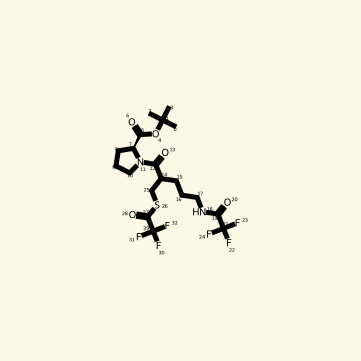 CC(C)(C)OC(=O)[C@@H]1CCCN1C(=O)C(CCCNC(=O)C(F)(F)F)CSC(=O)C(F)(F)F